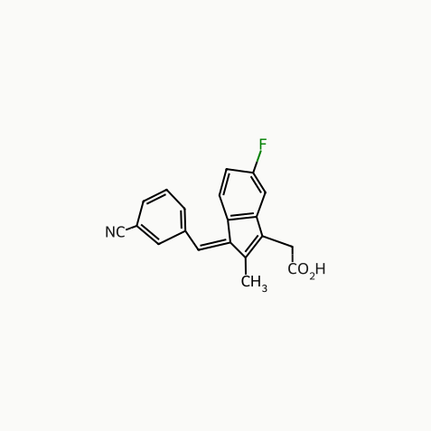 CC1=C(CC(=O)O)c2cc(F)ccc2C1=Cc1cccc(C#N)c1